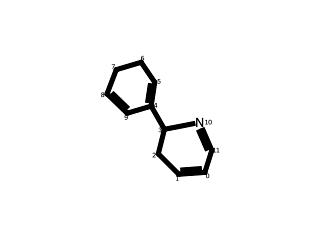 C1=CCC(C2=CCCC=C2)N=C1